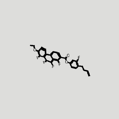 C=CCCc1ccc(OC(=O)c2ccc3c(c2F)C(F)C(F)c2c-3ccc(OCC)c2F)cc1F